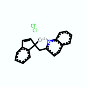 [Cl-].[Cl-].[Cr+2][C]1(Cc2ccc3ccccc3n2)C=Cc2ccccc21